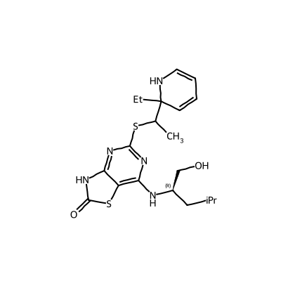 CCC1(C(C)Sc2nc(N[C@@H](CO)CC(C)C)c3sc(=O)[nH]c3n2)C=CC=CN1